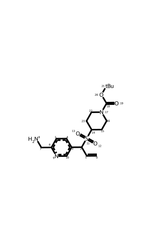 C=CC(c1ccc(CN)nc1)S(=O)(=O)C1CCN(C(=O)OC(C)(C)C)CC1